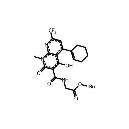 Cn1c(=O)c(C(=O)NCC(=O)OC(C)(C)C)c(O)c2c(C3=CCCCC3)cc(C(F)(F)F)nc21